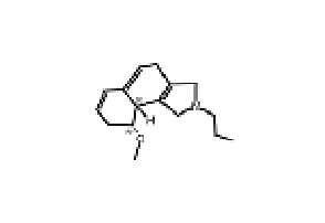 CCCN1CC2=C(C1)[C@H]1C(=CC2)C=CC[C@H]1OC